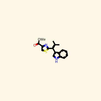 COC(=O)c1csc(C(=C(C)C)c2c[nH]c3ccccc23)n1